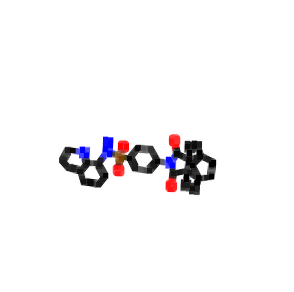 O=C1[C@@H]2[C@H](C(=O)N1c1ccc(S(=O)(=O)Nc3cccc4cccnc34)cc1)[C@@H]1C=C[C@H]2C1